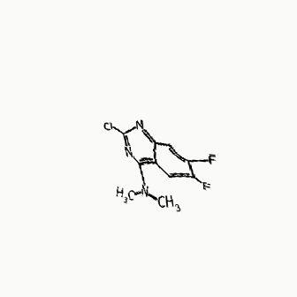 CN(C)c1nc(Cl)nc2cc(F)c(F)cc12